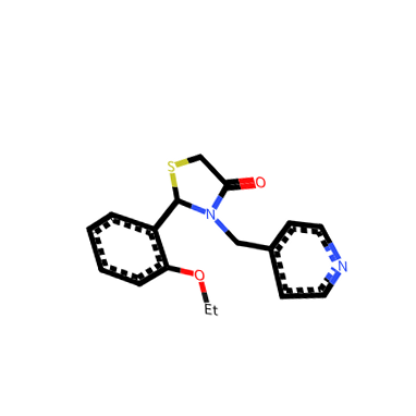 CCOc1ccccc1C1SCC(=O)N1Cc1ccncc1